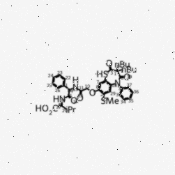 CCCCC1(CCCC)C(=O)[SH]c2cc(OCC(=O)N[C@@H](C(=O)N[C@H](C(=O)O)C(C)C)c3ccccc3)c(SC)cc2N(c2ccccc2)C1=O